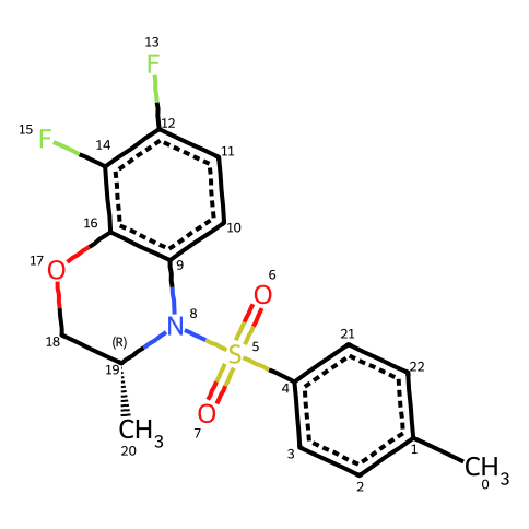 Cc1ccc(S(=O)(=O)N2c3ccc(F)c(F)c3OC[C@H]2C)cc1